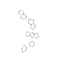 c1ccc(-c2cccc(-c3c4ccccc4c(-c4ccc5ccc(-c6ccc7ccccc7c6)cc5c4)c4ccccc34)c2)cc1